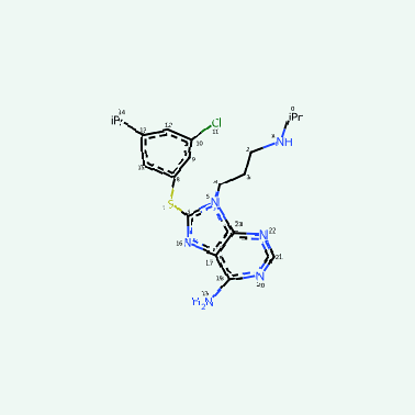 CC(C)NCCCn1c(Sc2cc(Cl)cc(C(C)C)c2)nc2c(N)ncnc21